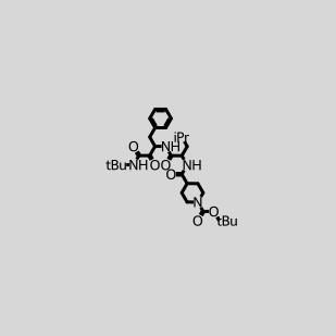 CC(C)CC(NC(=O)C1CCN(C(=O)OC(C)(C)C)CC1)C(=O)NC(Cc1ccccc1)C(=O)C(=O)NC(C)(C)C